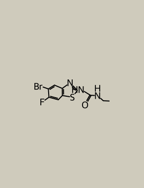 CCNC(=O)Nc1nc2cc(Br)c(F)cc2s1